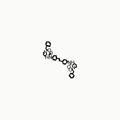 O=C(Nc1ccc(/C=C/c2ccc(NC(=O)[C@@H]3CCCN3C(=O)Cc3ccccc3)cc2)cc1)[C@@H]1CCCN1C(=O)Cc1ccccc1